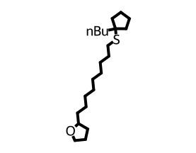 CCCCC1(SCCCCCCCCCC2CCCO2)CCCC1